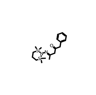 CC(CC(=O)Cc1ccccc1)=NN1[Si](C)(C)CCC[Si]1(C)C